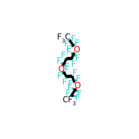 FC(=C(F)C(F)(F)OC(F)(F)C(F)(F)C(F)(F)F)C(F)(F)OC(F)(F)C(F)=C(F)C(F)(F)OC(F)(F)C(F)(F)C(F)(F)F